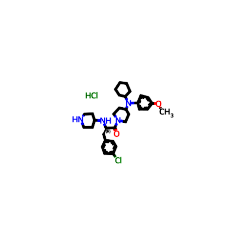 COc1ccc(N(C2CCCCC2)C2CCN(C(=O)[C@@H](Cc3ccc(Cl)cc3)NC3CCNCC3)CC2)cc1.Cl